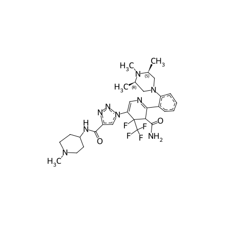 C[C@@H]1CN(c2ccccc2C2=NC=C(n3cc(C(=O)NC4CCN(C)CC4)nn3)C(F)(C(F)(F)F)C2C(N)=O)C[C@H](C)N1C